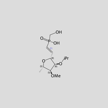 CO[C@@H]1[C@H](OC(C)C)[C@@H](/C=C/P(=O)(O)CO)O[C@H]1C